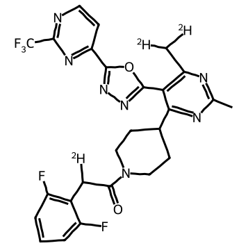 [2H]C([2H])c1nc(C)nc(C2CCN(C(=O)C([2H])c3c(F)cccc3F)CC2)c1-c1nnc(-c2ccnc(C(F)(F)F)n2)o1